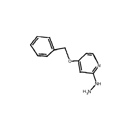 NNc1cc(OCc2ccccc2)ccn1